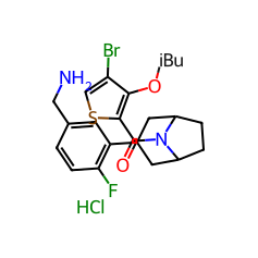 CCC(C)Oc1c(Br)csc1C(=O)N1C2CCC1CC(c1cc(CN)ccc1F)C2.Cl